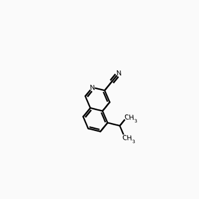 CC(C)c1cccc2cnc(C#N)cc12